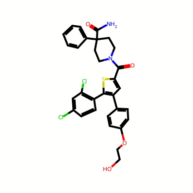 NC(=O)C1(c2ccccc2)CCN(C(=O)c2cc(-c3ccc(OCCO)cc3)c(-c3ccc(Cl)cc3Cl)s2)CC1